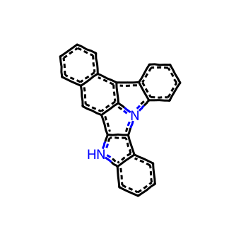 c1ccc2c(c1)cc1c3[nH]c4ccccc4c3n3c4ccccc4c2c13